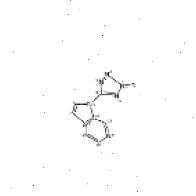 Cn1nnc(-n2ccc3ccncc32)n1